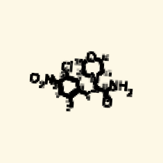 Cc1cc([N+](=O)[O-])c(Cl)cc1C[C@@H](C(N)=O)N1CCOCC1